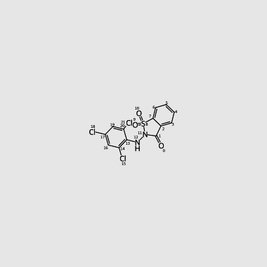 O=C1c2ccccc2S(=O)(=O)N1Nc1c(Cl)cc(Cl)cc1Cl